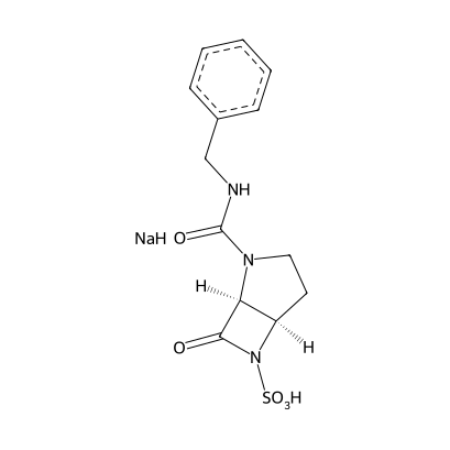 O=C(NCc1ccccc1)N1CC[C@@H]2[C@H]1C(=O)N2S(=O)(=O)O.[NaH]